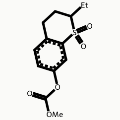 CCC1CCc2ccc(OC(=O)OC)cc2S1(=O)=O